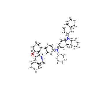 c1ccc(N(c2ccc(-c3cccc4oc5c6ccccc6cnc5c34)cc2)c2ccc3c(c2)c2ccccc2n3-c2ccc3ccccc3c2)cc1